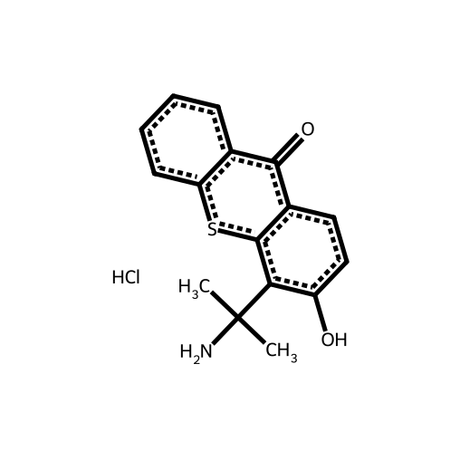 CC(C)(N)c1c(O)ccc2c(=O)c3ccccc3sc12.Cl